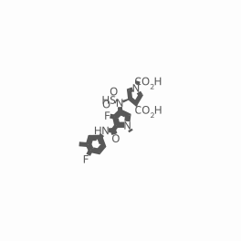 Cc1cc(NC(=O)c2c(F)c(N([C@H]3CN(C(=O)O)C[C@@H]3C(=O)O)[SH](=O)=O)cn2C)ccc1F